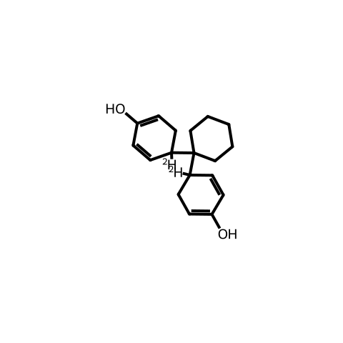 [2H]C1(C2(C3([2H])C=CC(O)=CC3)CCCCC2)C=CC(O)=CC1